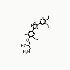 CCc1cc(-c2nc(-c3cc(C)c(OCC(O)CN)c(CC)c3)no2)cnc1CC